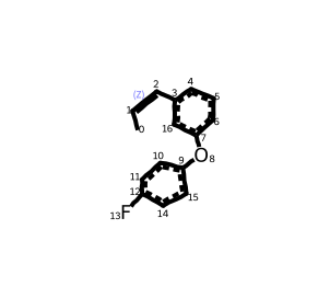 C/C=C\c1cccc(Oc2ccc(F)cc2)c1